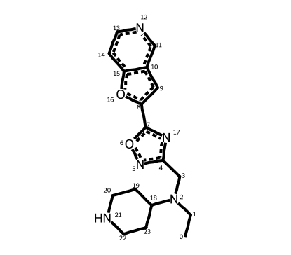 CCN(Cc1noc(-c2cc3cnccc3o2)n1)C1CCNCC1